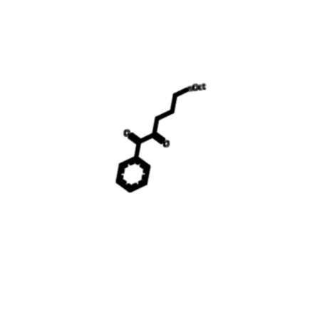 CCCCCCCCCCCC(=O)C(=O)c1ccccc1